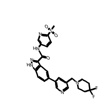 CS(=O)(=O)c1ccc(NC(=O)c2n[nH]c3ccc(-c4cncc(CN5CCC(F)(F)CC5)c4)cc23)cn1